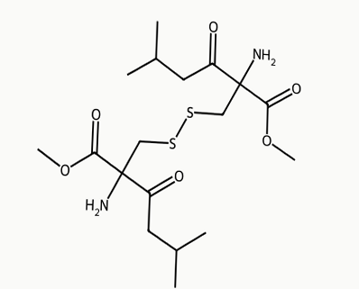 COC(=O)C(N)(CSSCC(N)(C(=O)CC(C)C)C(=O)OC)C(=O)CC(C)C